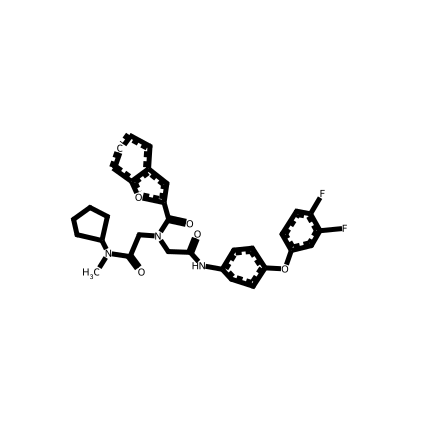 CN(C(=O)CN(CC(=O)Nc1ccc(Oc2ccc(F)c(F)c2)cc1)C(=O)c1cc2ccccc2o1)C1CCCC1